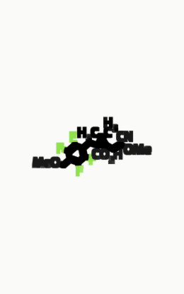 COCc1c(F)c(F)c(C[C@@]2(C(=O)O)C(/C=C(\C#N)OC)C2(C)C)c(F)c1F